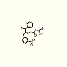 CCN(CC)c1cccc(CC(OCC(O)CN(C(C)C)C(C)C)C(=O)c2ccccc2)c1